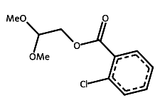 COC(COC(=O)c1ccccc1Cl)OC